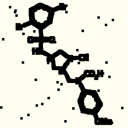 COc1ccc(N(C[C@H]2C[C@@H](NS(=O)(=O)c3cc(Br)ccc3Br)CN2C#N)C(=O)O)cc1